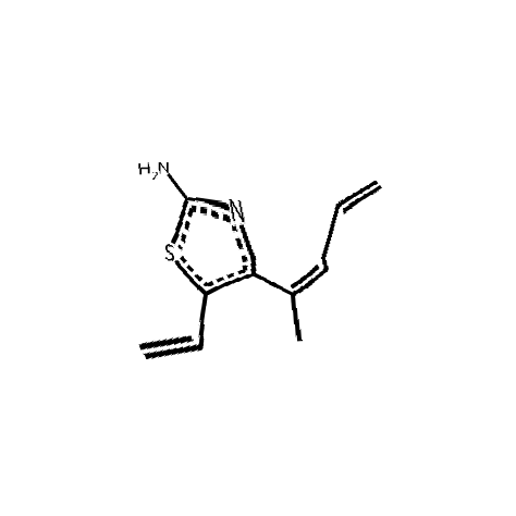 C=C/C=C(/C)c1nc(N)sc1C=C